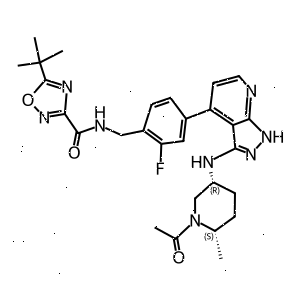 CC(=O)N1C[C@H](Nc2n[nH]c3nccc(-c4ccc(CNC(=O)c5noc(C(C)(C)C)n5)c(F)c4)c23)CC[C@@H]1C